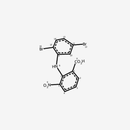 O=C(O)c1cccc([N+](=O)[O-])c1Nc1cc(Br)ccc1Br